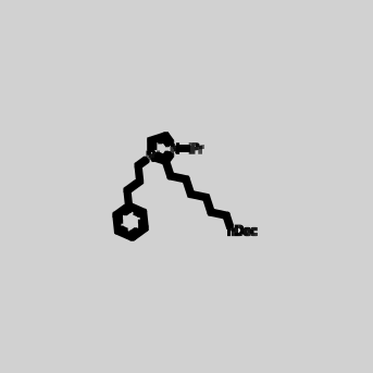 CCCCCCCCCCCCCCCCc1n(C(C)C)cc[n+]1CCCc1ccccc1